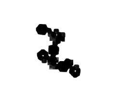 O=C(NC1(COc2ccc(-c3nc(Nc4ccc5c(cnn5C5CCCCO5)c4)nn3C3CCCCO3)cc2)COC1)OCc1ccccc1